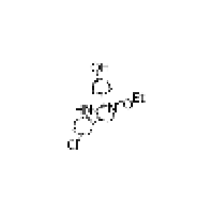 CCOCN1CCc2c([nH]c3ccc(Cl)cc23)[C@@H]1c1ccc(O)cc1